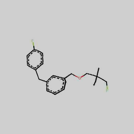 CC(C)(CF)COCc1cccc(Cc2ccc(F)cc2)c1